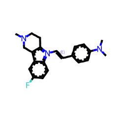 CN1CCc2c(c3cc(F)ccc3n2/C=C/c2ccc(N(C)C)cc2)C1